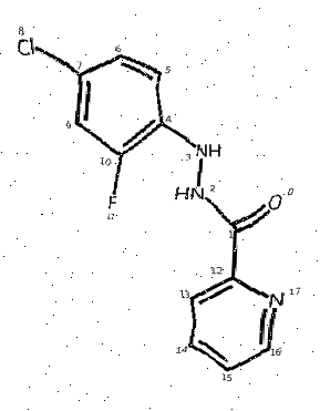 O=C(NNc1ccc(Cl)cc1F)c1ccccn1